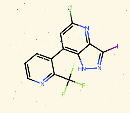 FC(F)(F)c1ncccc1-c1cc(Cl)nc2c(I)n[nH]c12